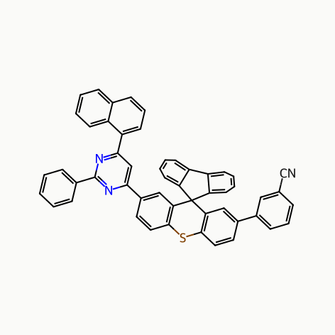 N#Cc1cccc(-c2ccc3c(c2)C2(c4cc(-c5cc(-c6cccc7ccccc67)nc(-c6ccccc6)n5)ccc4S3)c3ccccc3-c3ccccc32)c1